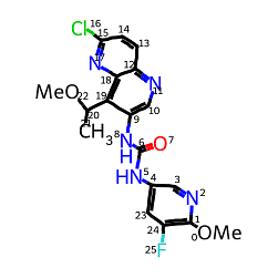 COc1ncc(NC(=O)Nc2cnc3ccc(Cl)nc3c2C(C)OC)cc1F